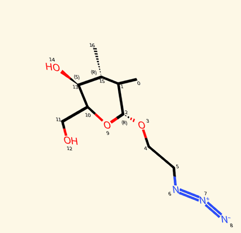 CC1[C@H](OCCN=[N+]=[N-])OC(CO)[C@@H](O)[C@@H]1C